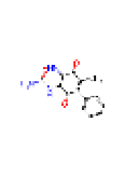 CC1=C(c2ccccc2)C(=O)C(NC(N)=O)C(=N)C1=O